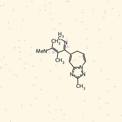 C/N=C(C1=Cc2nc(C)nn2C=CC1)\C(C)=C(/C)NC